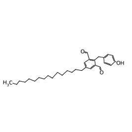 CCCCCCCCCCCCCCCCc1cc(C=O)c(Cc2ccc(O)cc2)c(C=O)c1